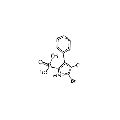 O=P(O)(O)c1[nH]c(Br)c(Cl)c1-c1ccccc1